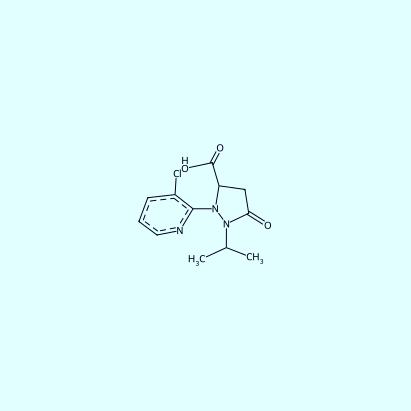 CC(C)N1C(=O)CC(C(=O)O)N1c1ncccc1Cl